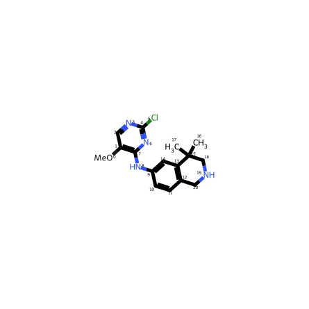 COc1cnc(Cl)nc1Nc1ccc2c(c1)C(C)(C)CNC2